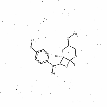 COc1ccc(B(O)C2O[C@H]3OCC(OC)C[C@H]23)cc1